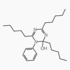 CCCCCC1=NC(O)(CCCCC)N(c2ccccc2)C(CCCCC)=N1